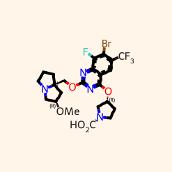 CO[C@H]1CN2CCC[C@]2(COc2nc(O[C@@H]3CCN(C(=O)O)C3)c3cc(C(F)(F)F)c(Br)c(F)c3n2)C1